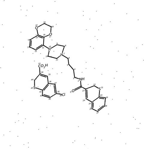 O=C(NCCCCN1CCN(c2cccc3c2OCCO3)CC1)C1=Cc2ccccc2SC1.O=C(O)C1=Cc2cc(Cl)ccc2SC1